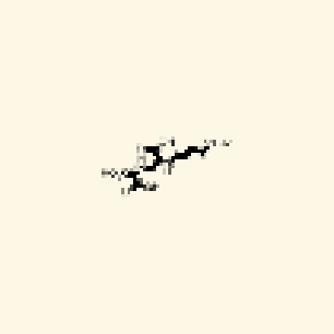 CCCCCCCCCCCCCCNC(CNC(C(=O)O)C(O)CC)C(O)CC